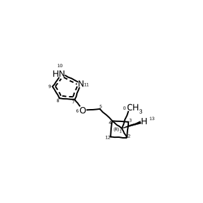 C[C@@H]1C2CC1(COc1cc[nH]n1)C2